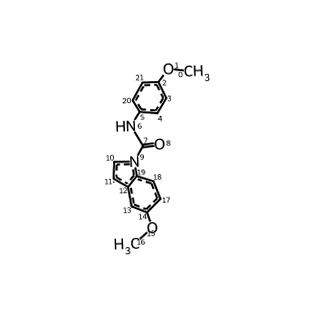 COc1ccc(NC(=O)n2c[c]c3cc(OC)ccc32)cc1